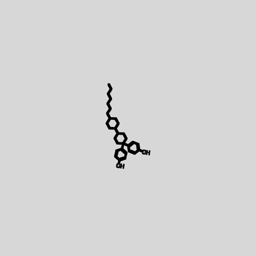 CCCCCCCC1CCC(C2CCC(c3ccc(O)cc3)(c3ccc(O)cc3)CC2)CC1